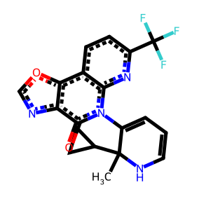 CC1(C2CC2)NC=CC=C1n1c(=O)c2ncoc2c2ccc(C(F)(F)F)nc21